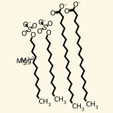 CCCCCCCCCCCCCCCCCC(=O)[O-].CCCCCCCCCCCCCCCCCC(=O)[O-].CCCCCCCCCCCCOS(=O)(=O)[O-].CCCCCCCCCCCCOS(=O)(=O)[O-].[Mg+2].[Mg+2]